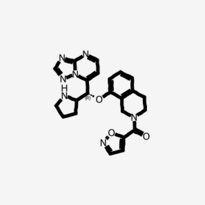 O=C(c1ccno1)N1CCc2cccc(O[C@@H](c3ccnc4ncnn34)C3CCCN3)c2C1